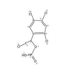 O=[PH](O)OC(CCl)c1cc(Cl)c(Cl)cc1Cl